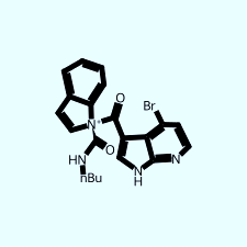 CCCCNC(=O)[N@@+]1(C(=O)c2c[nH]c3nccc(Br)c23)C=Cc2ccccc21